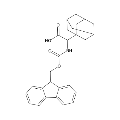 O=C(NC(C(=O)O)C12CC3CC(CC(C3)C1)C2)OCC1c2ccccc2-c2ccccc21